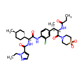 CCC(=O)N[C@@H](C(=O)N1CCS(=O)(=O)CC1)[C@@H](C)c1ccc(NC(=O)[C@@H](NC(=O)c2ccnn2CC)[C@H]2CC[C@H](C)CC2)c(F)c1